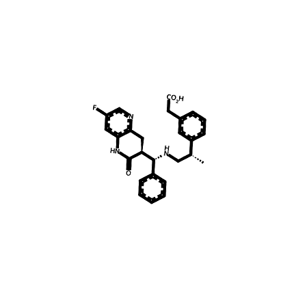 C[C@H](CN[C@H](c1ccccc1)[C@@H]1Cc2ncc(F)cc2NC1=O)c1cccc(CC(=O)O)c1